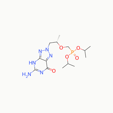 CC(C)OP(=O)(CO[C@@H](C)Cn1nc2[nH]c(N)nc(=O)c2n1)OC(C)C